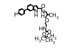 C[C@H](CNC(=O)c1cc2ccc(-c3ccc(F)cc3)cc2[nH]1)COCCNC(=O)OC(C)(C)C